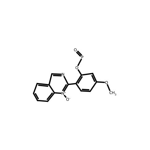 COc1ccc(-c2ncc3ccccc3[n+]2[O-])c(OP=O)c1